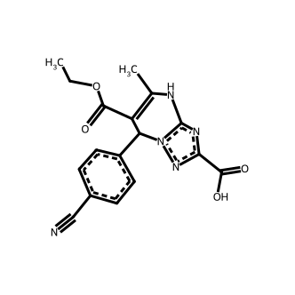 CCOC(=O)C1=C(C)Nc2nc(C(=O)O)nn2C1c1ccc(C#N)cc1